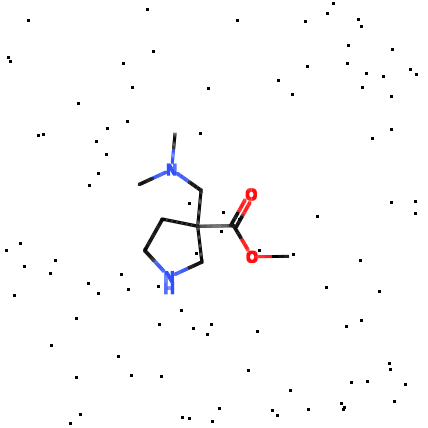 COC(=O)C1(CN(C)C)CCNC1